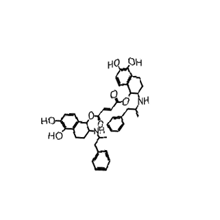 CC(Cc1ccccc1)NC1CCc2c(ccc(O)c2O)C1OC(=O)/C=C/C(=O)OC1c2ccc(O)c(O)c2CCC1NC(C)Cc1ccccc1